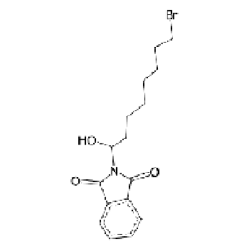 O=C1c2ccccc2C(=O)N1C(O)CCCCCCCBr